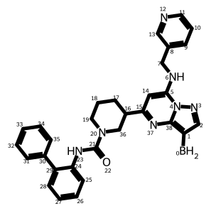 Bc1cnn2c(NCc3cccnc3)cc(C3CCCN(C(=O)Nc4ccccc4-c4ccccc4)C3)nc12